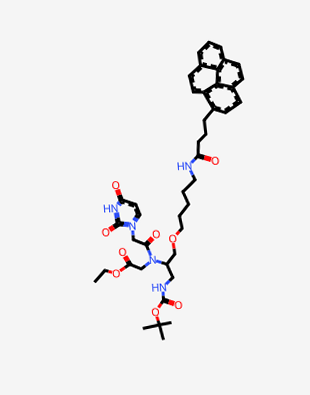 CCOC(=O)CN(C(=O)Cn1ccc(=O)[nH]c1=O)C(CNC(=O)OC(C)(C)C)COCCCCCNC(=O)CCCc1ccc2ccc3cccc4ccc1c2c34